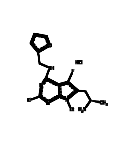 CCn1c(C[C@H](C)N)c(F)c2c(NCc3ccco3)nc(Cl)nc21.Cl